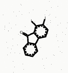 O=C1c2ccccc2-c2ccc(I)c(I)c21